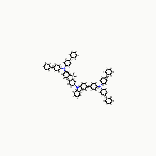 CC1(C)c2cc(N(c3ccc(-c4ccccc4)cc3)c3ccc(-c4ccccc4)cc3)ccc2-c2ccc(-n3c4ccccc4c4cc(-c5ccc(N(c6ccc(-c7ccccc7)cc6)c6ccc(-c7ccccc7)cc6)cc5)ccc43)cc21